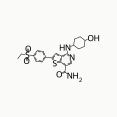 CCS(=O)(=O)c1ccc(-c2cc3c(NC4CCC(O)CC4)ncc(C(N)=O)c3s2)cc1